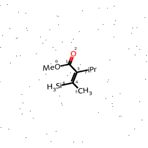 COC(=O)C(=C(C)[SiH3])C(C)C